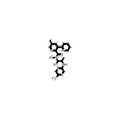 CCC(C(C)Nc1cnc(C(F)(F)F)cn1)N(CC)C(=O)c1ncc(C)cc1-c1ccccn1